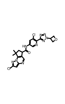 CC1(C)CC(C(=O)Nc2cnc(-c3nnn(C4COC4)n3)c(Cl)c2)c2cnc3cc(Cl)nn3c21